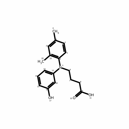 Cc1ccc(N(CCCC(=O)O)c2cccc(O)c2)c(C)c1